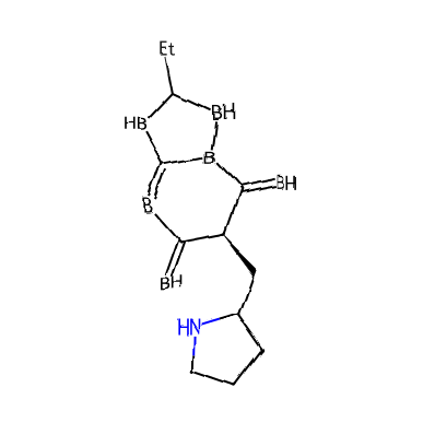 B=C1B=C2BC(CC)BB2C(=B)[C@H]1CC1CCCN1